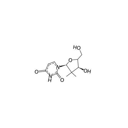 CC1(C)[C@H](O)C(CO)O[C@@H]1n1ccc(=O)[nH]c1=O